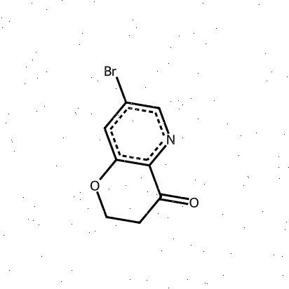 O=C1CCOc2cc(Br)cnc21